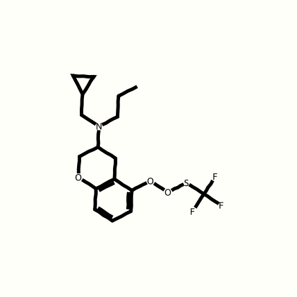 CCCN(CC1CC1)C1COc2cccc(OOSC(F)(F)F)c2C1